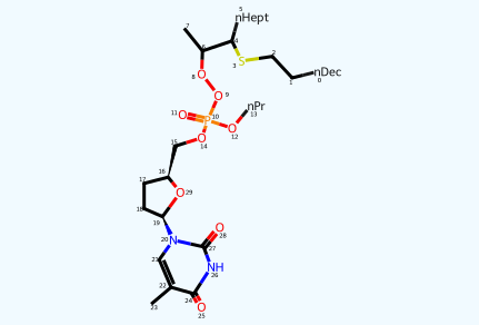 CCCCCCCCCCCCSC(CCCCCCC)C(C)OOP(=O)(OCCC)OC[C@@H]1CC[C@H](n2cc(C)c(=O)[nH]c2=O)O1